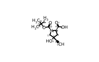 C#C[C@@]1(O)C[C@H](C(=O)O)N(C(=O)OC(C)(C)C)C1